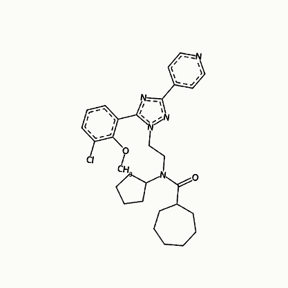 COc1c(Cl)cccc1-c1nc(-c2ccncc2)nn1CCN(C(=O)C1CCCCCC1)C1CCCC1